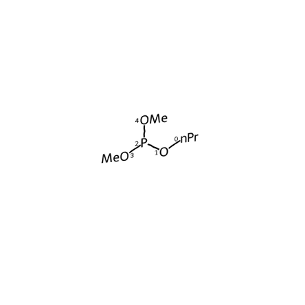 CCCOP(OC)OC